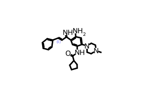 CN1CCN(c2cc(N)c(C(=N)/C=C/c3ccccc3)cc2NC(=O)C2CCCC2)CC1